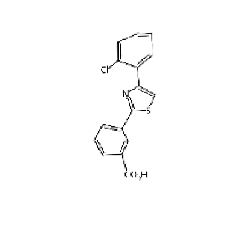 O=C(O)c1cccc(-c2nc(-c3ccccc3Cl)cs2)c1